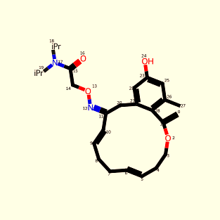 C=C1OCC/C=C/CC/C=C/C(=N/OCC(=O)N(C(C)C)C(C)C)Cc2cc(O)cc(C)c21